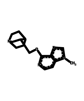 Cn1cnc2c(OCC3CN4CCC3CC4)nccc21